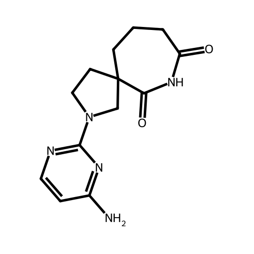 Nc1ccnc(N2CCC3(CCCC(=O)NC3=O)C2)n1